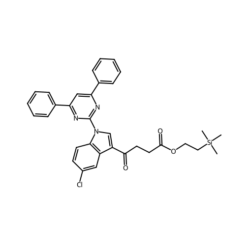 C[Si](C)(C)CCOC(=O)CCC(=O)c1cn(-c2nc(-c3ccccc3)cc(-c3ccccc3)n2)c2ccc(Cl)cc12